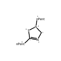 CCCCCC1=NCN(CCCCC)S1